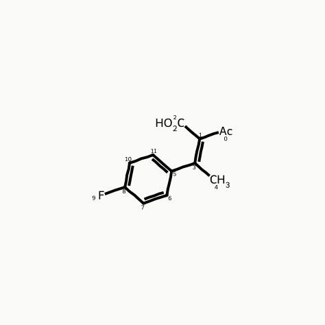 CC(=O)C(C(=O)O)=C(C)c1ccc(F)cc1